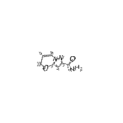 NC(=O)c1cc2n(n1)C=CCO2